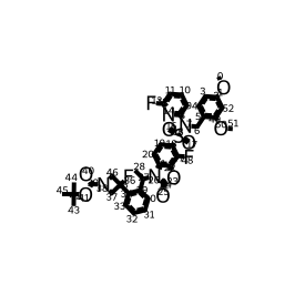 COc1ccc(CN(c2cccc(F)n2)S(=O)(=O)c2ccc3c(oc(=O)n3C(C)c3ccccc3C3(F)CN(C(=O)OC(C)(C)C)C3)c2F)c(OC)c1